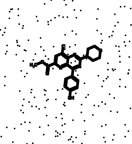 COC(=O)c1cc(Cl)c2nc(N3CCOCC3)nc(-c3ccc(O)cc3)c2n1